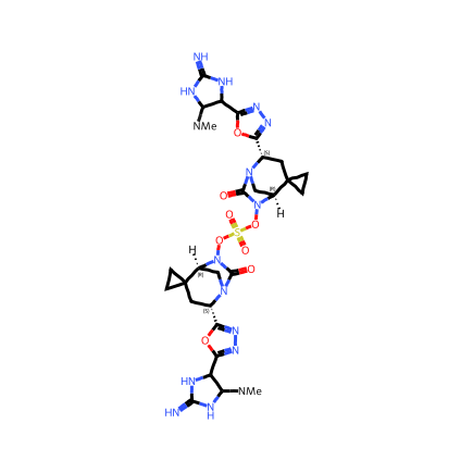 CNC1NC(=N)NC1c1nnc([C@@H]2CC3(CC3)[C@@H]3CN2C(=O)N3OS(=O)(=O)ON2C(=O)N3C[C@H]2C2(CC2)C[C@H]3c2nnc(C3NC(=N)NC3NC)o2)o1